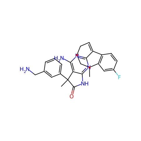 CC1CCC/C=C(\c2nc(N)c3c(n2)NC(=O)C3(C)c2cccc(CN)c2)c2ccc(F)cc21